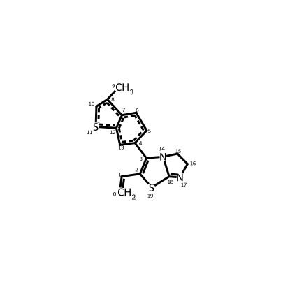 C=CC1=C(c2ccc3c(C)csc3c2)N2CCN=C2S1